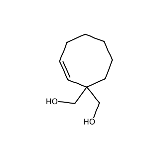 OCC1(CO)C=CCCCCC1